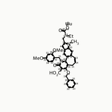 CCN(Cc1cc2cc3c(cc2n1C)C=CCc1c(OCc2ccccc2)c(C(=O)O)c(=O)n(Cc2ccc(OC)cc2OC)c1-3)C(=O)OC(C)(C)C